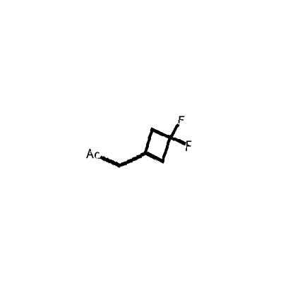 CC(=O)CC1CC(F)(F)C1